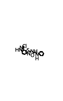 O=C(CNc1ccccc1)Nc1nc2ccc3[nH]nc(Cl)c3c2s1